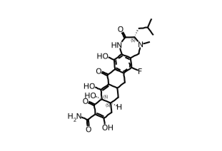 CC(C)C[C@H]1C(=O)Nc2c(O)c3c(c(F)c2CN1C)CC1C[C@H]2CC(O)=C(C(N)=O)C(=O)[C@@]2(O)C(O)=C1C3=O